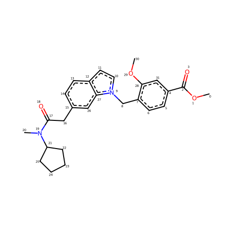 COC(=O)c1ccc(Cn2ccc3ccc(CC(=O)N(C)C4CCCC4)cc32)c(OC)c1